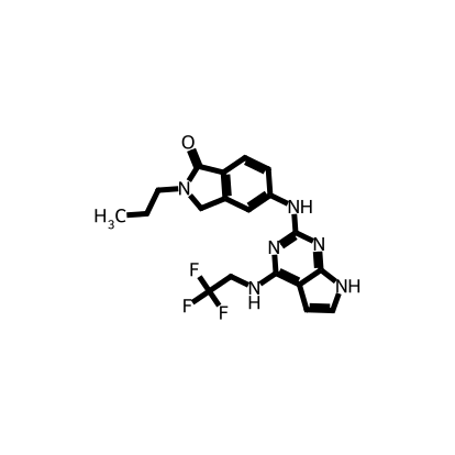 CCCN1Cc2cc(Nc3nc(NCC(F)(F)F)c4cc[nH]c4n3)ccc2C1=O